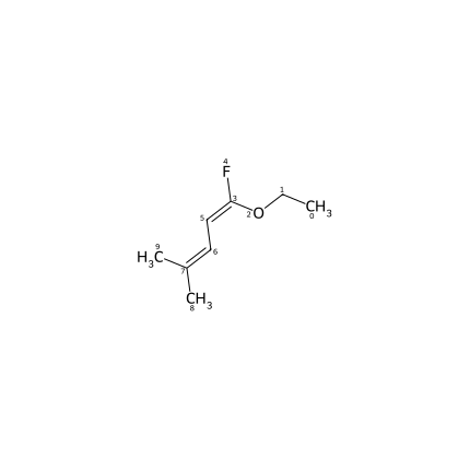 CCO/C(F)=C\C=C(C)C